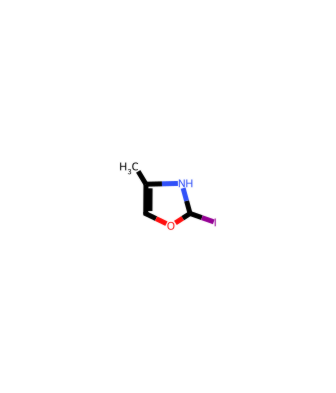 CC1=COC(I)N1